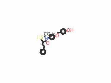 O=C(O)CN(C(=O)C(CS)CCc1ccccc1)c1ccc(OCc2ccc(O)cc2)cc1